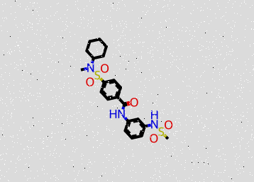 CN(C1CCCCC1)S(=O)(=O)c1ccc(C(=O)Nc2cccc(NS(C)(=O)=O)c2)cc1